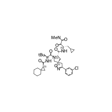 CNC(=O)C(=O)[C@H](CC1CC1)NC(=O)[C@@H]1C[C@]2(CC(c3cccc(Cl)c3)=NO2)CN1C(=O)[C@@H](NC(=O)[C@H]1CC12CCCCC2)C(C)(C)C